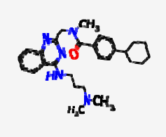 CN(C)CCCNc1nc(CN(C)C(=O)c2ccc(C3CCCCC3)cc2)nc2ccccc12